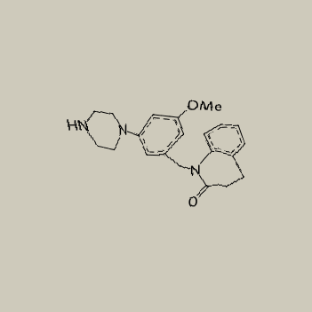 COc1cc(CN2C(=O)CCc3ccccc32)cc(N2CCNCC2)c1